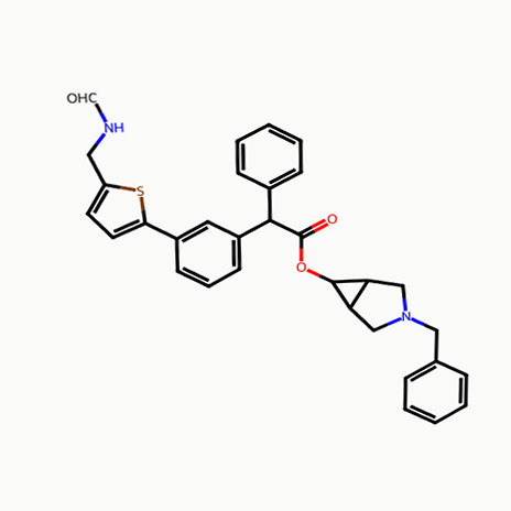 O=CNCc1ccc(-c2cccc(C(C(=O)OC3C4CN(Cc5ccccc5)CC43)c3ccccc3)c2)s1